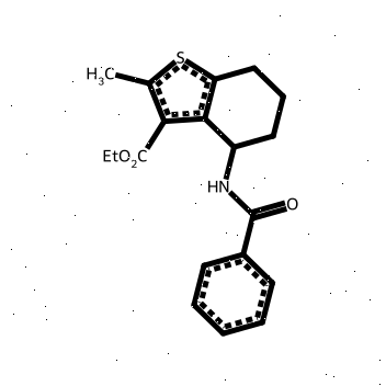 CCOC(=O)c1c(C)sc2c1C(NC(=O)c1ccccc1)CCC2